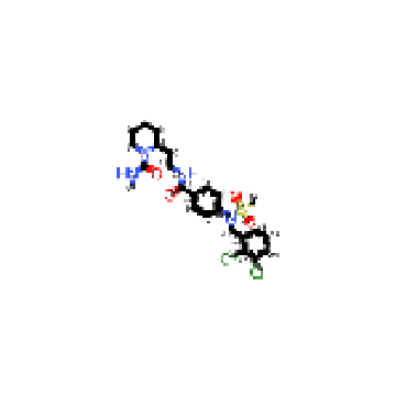 CNC(=O)N1CCCCC1CCNC(=O)c1ccc(N(Cc2cccc(Cl)c2Cl)S(C)(=O)=O)cc1